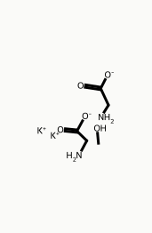 CO.NCC(=O)[O-].NCC(=O)[O-].[K+].[K+]